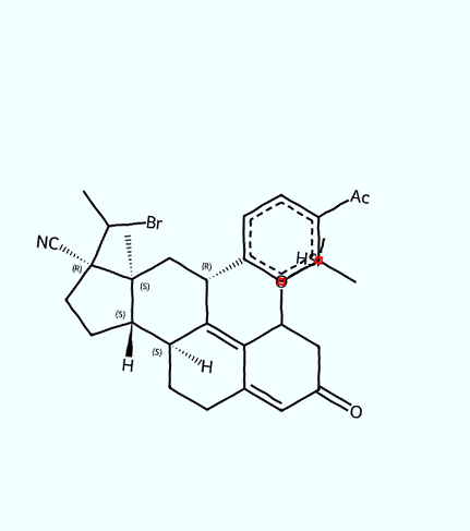 CC(=O)c1ccc([C@H]2C[C@@]3(C)[C@@H](CC[C@@]3(C#N)C(C)Br)[C@@H]3CCC4=CC(=O)CC(O[SiH](C)C)C4=C32)cc1